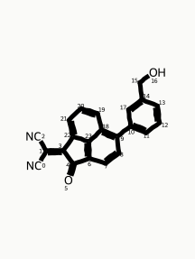 N#CC(C#N)=c1c(=O)c2ccc(-c3cccc(CO)c3)c3cccc1c32